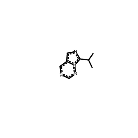 CC(C)c1ncc2cncnn12